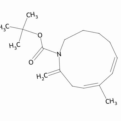 C=C1C/C=C(C)\C=C/CCCCN1C(=O)OC(C)(C)C